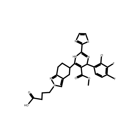 COC(=O)C1=C(C2CCc3nn(CCCC(=O)O)cc3C2)NC(c2nccs2)=NC1c1ccc(F)c(F)c1Cl